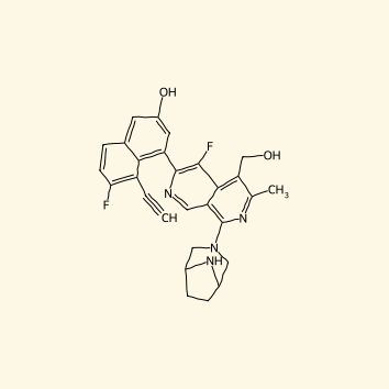 C#Cc1c(F)ccc2cc(O)cc(-c3ncc4c(N5CC6CCC(C5)N6)nc(C)c(CO)c4c3F)c12